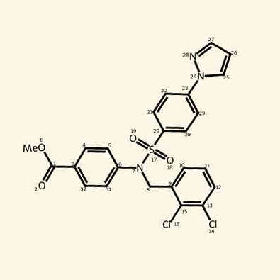 COC(=O)c1ccc(N(Cc2cccc(Cl)c2Cl)S(=O)(=O)c2ccc(-n3cccn3)cc2)cc1